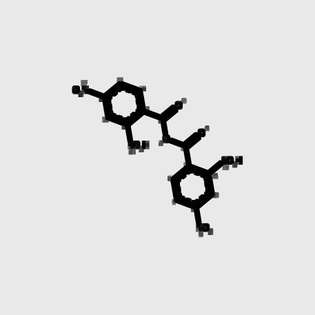 O=C(OC(=O)c1ccc([N+](=O)[O-])cc1S(=O)(=O)O)c1ccc([N+](=O)[O-])cc1S(=O)(=O)O